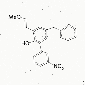 COC=Cc1cc(Cc2ccccc2)cc(-c2cccc([N+](=O)[O-])c2)c1O